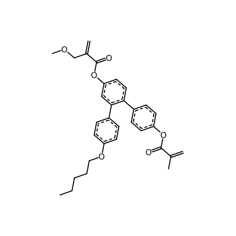 C=C(C)C(=O)Oc1ccc(-c2ccc(OC(=O)C(=C)COC)cc2-c2ccc(OCCCCC)cc2)cc1